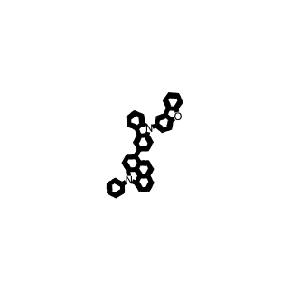 c1ccc(-n2c3cccc4ccc5c(-c6ccc7c(c6)c6ccccc6n7-c6ccc7oc8ccccc8c7c6)ccc2c5c43)cc1